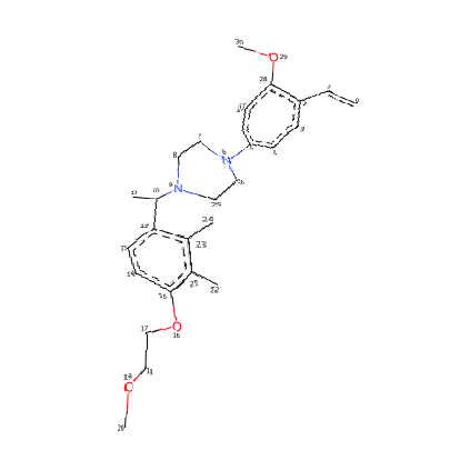 C=Cc1ccc(N2CCN(C(C)c3ccc(OCCOC)c(C)c3C)CC2)cc1OC